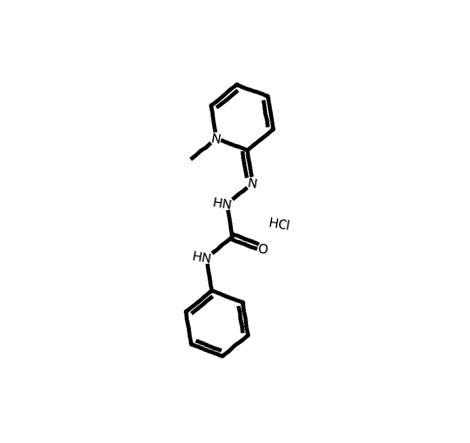 Cl.Cn1ccccc1=NNC(=O)Nc1ccccc1